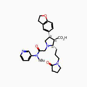 CCCCN(C(=O)CN1C[C@H](c2ccc3c(c2)CCO3)[C@@H](C(=O)O)[C@@H]1CCCN1CCCC1=O)c1cccnc1